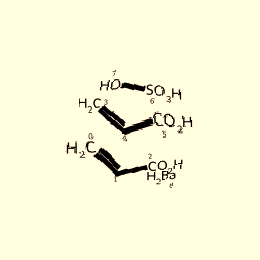 C=CC(=O)O.C=CC(=O)O.O=S(=O)(O)O.[BaH2]